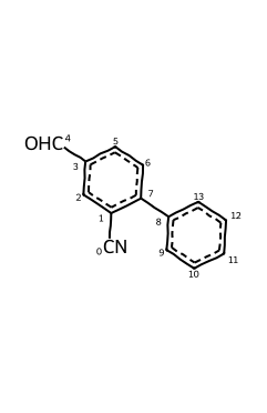 N#Cc1cc(C=O)ccc1-c1ccccc1